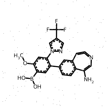 COc1cc(-n2cc(C(F)(F)F)cn2)c(-c2ccc3c(c2)C=C=NC=C3N)cc1B(O)O